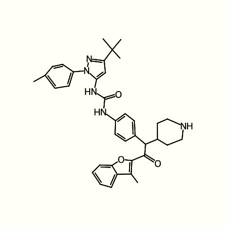 Cc1ccc(-n2nc(C(C)(C)C)cc2NC(=O)Nc2ccc(C(C(=O)c3oc4ccccc4c3C)C3CCNCC3)cc2)cc1